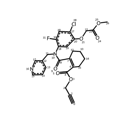 C#CCOC(=O)C1=C(C(=O)N(Cc2cccnc2)c2cc(OCC(=O)OC)c(Cl)cc2F)CCCC1